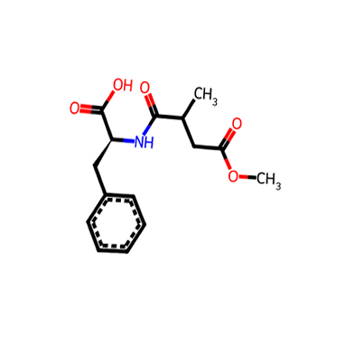 COC(=O)CC(C)C(=O)N[C@@H](Cc1ccccc1)C(=O)O